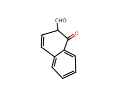 O=CC1C=Cc2ccccc2C1=O